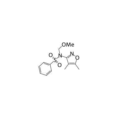 COCN(c1noc(C)c1C)S(=O)(=O)c1ccccc1